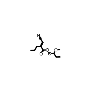 CCC/C(=C\C#N)C(=O)OOC(CC)OC